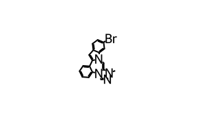 CN1N=CN2C1=Cn1c(cc3ccc(Br)cc31)-c1ccccc12